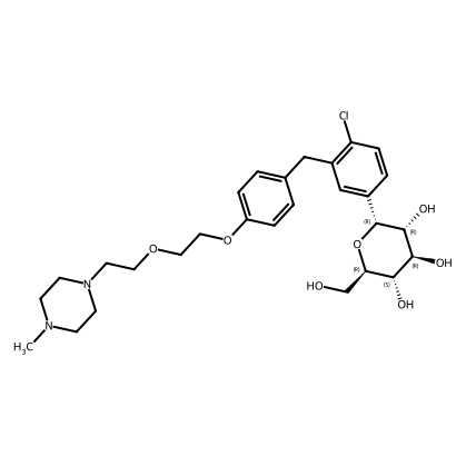 CN1CCN(CCOCCOc2ccc(Cc3cc([C@H]4O[C@H](CO)[C@@H](O)[C@H](O)[C@H]4O)ccc3Cl)cc2)CC1